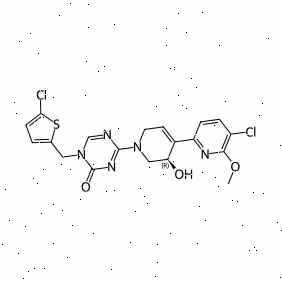 COc1nc(C2=CCN(c3ncn(Cc4ccc(Cl)s4)c(=O)n3)C[C@@H]2O)ccc1Cl